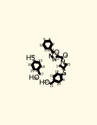 O=C(c1nnc(-c2ccccc2)o1)N1CC(Sc2ccc(CO)cc2)C1.OCc1ccc(S)cc1